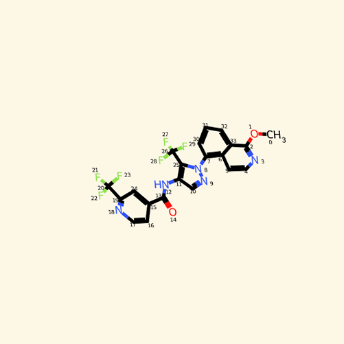 COc1nccc2c(-n3ncc(NC(=O)c4ccnc(C(F)(F)F)c4)c3C(F)(F)F)cccc12